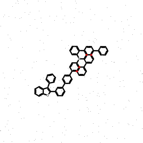 c1ccc(-c2ccc(-c3ccccc3N(c3ccc(-c4ccc(-c5cccc(-c6oc7ccccc7c6-c6ccccc6)c5)cc4)cc3)c3ccccc3-c3ccccc3)cc2)cc1